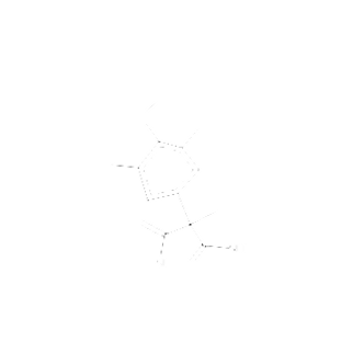 COc1c(Cl)cc(C(O)(C(N)=O)C(N)=O)cc1Cl